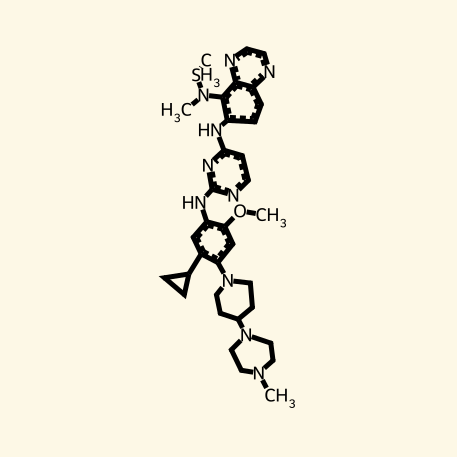 COc1cc(N2CCC(N3CCN(C)CC3)CC2)c(C2CC2)cc1Nc1nccc(Nc2ccc3nccnc3c2N(C)SC)n1